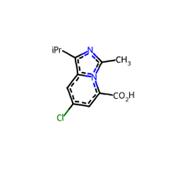 Cc1nc(C(C)C)c2cc(Cl)cc(C(=O)O)n12